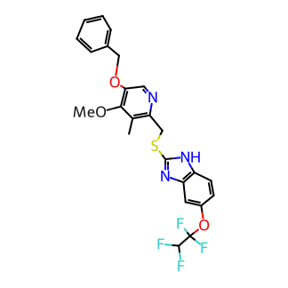 COc1c(OCc2ccccc2)cnc(CSc2nc3cc(OC(F)(F)C(F)F)ccc3[nH]2)c1C